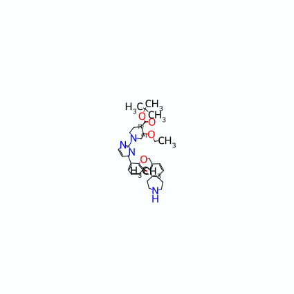 CCO[C@H]1CN(c2nccc(-c3cccc(C)c3OCc3ccc4c(c3C)CCNCC4)n2)CC[C@H]1C(=O)OC(C)(C)C